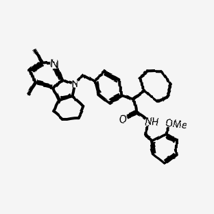 COc1ccccc1CNC(=O)C(c1ccc(Cn2c3c(c4c(C)cc(C)nc42)CCCC3)cc1)C1CCCCCC1